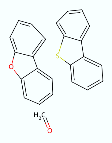 C=O.c1ccc2c(c1)oc1ccccc12.c1ccc2c(c1)sc1ccccc12